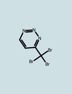 BrC(Br)(Br)c1ccnnn1